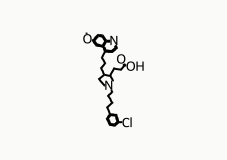 COc1ccc2nccc(CCCC3CCN(CCCCc4cccc(Cl)c4)CC3CCC(=O)O)c2c1